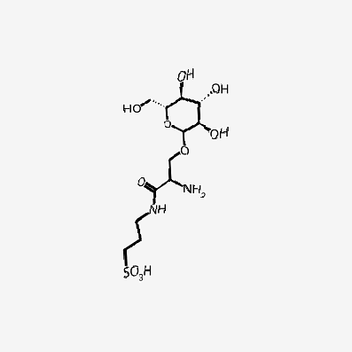 NC(COC1O[C@H](CO)[C@@H](O)[C@H](O)[C@H]1O)C(=O)NCCCS(=O)(=O)O